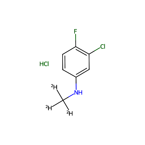 Cl.[2H]C([2H])([2H])Nc1ccc(F)c(Cl)c1